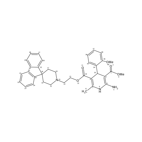 COC(=O)C1=C(N)NC(C)=C(C(=O)OCCN2CCC(c3ccccc3)(c3ccccc3)CC2)C1c1ccccc1OC